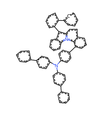 c1ccc(-c2ccc(N(c3ccc(-c4ccccc4)cc3)c3ccc(-c4cccc5ccc6c(-c7ccccc7-c7ccccc7)c7ccccc7n6c45)cc3)cc2)cc1